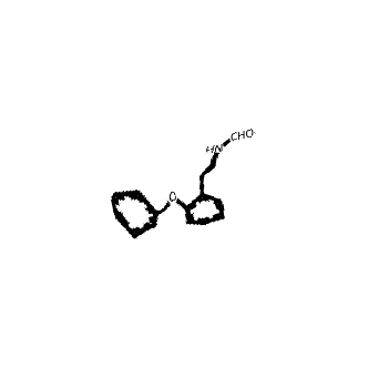 O=[C]NCCc1ccccc1Oc1ccccc1